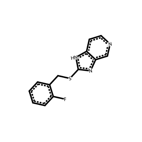 Fc1ccccc1CSc1nc2cnccc2[nH]1